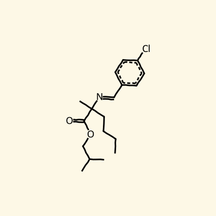 CCCCC(C)(/N=C/c1ccc(Cl)cc1)C(=O)OCC(C)C